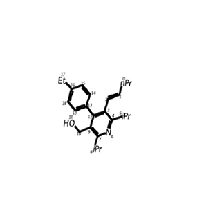 CCCC=Cc1c(C(C)C)nc(C(C)C)c(CO)c1-c1ccc(CC)cc1